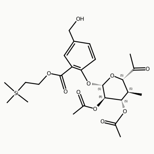 CC(=O)O[C@H]1[C@H](Oc2ccc(CO)cc2C(=O)OCC[Si](C)(C)C)O[C@H](C(C)=O)[C@@H](C)[C@@H]1OC(C)=O